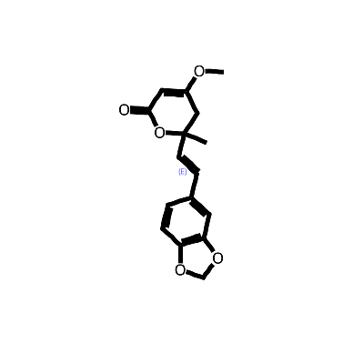 COC1=CC(=O)OC(C)(/C=C/c2ccc3c(c2)OCO3)C1